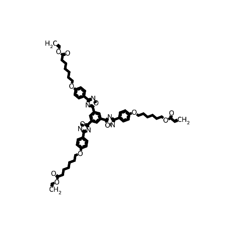 C=COC(=O)CCCCCCOc1ccc(-c2noc(-c3cc(-c4nc(-c5ccc(OCCCCCCOC(=O)C=C)cc5)no4)cc(-c4nc(-c5ccc(OCCCCCCC(=O)OC=C)cc5)no4)c3)n2)cc1